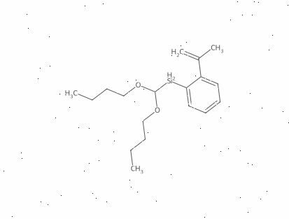 C=C(C)c1ccccc1[SiH2]C(OCCCC)OCCCC